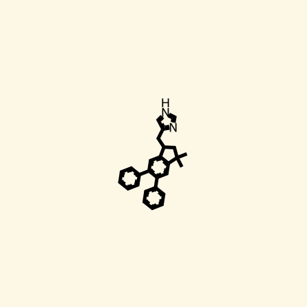 CC1(C)CC(Cc2c[nH]cn2)c2cc(-c3ccccc3)c(-c3ccccc3)cc21